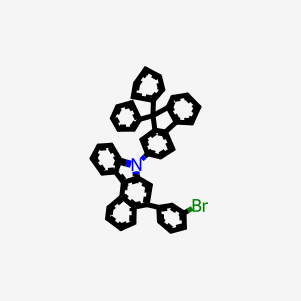 Brc1cccc(-c2cc3c(c4ccccc24)c2ccccc2n3-c2ccc3c(c2)C(c2ccccc2)(c2ccccc2)c2ccccc2-3)c1